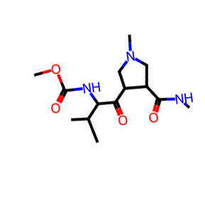 CNC(=O)C1CN(C)CC1C(=O)C(NC(=O)OC)C(C)C